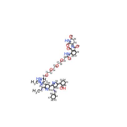 C/C=C(\C=N\N(C)NCCOCCOCCOCCOCCC(=O)Nc1cccc2c1C(=O)N(C1CCC(=O)NC1=O)C2=O)c1ncc(-c2ncc(-c3ccccc3O)cc2/C=C/c2ccccc2)cc1C